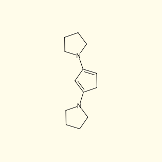 C1=C(N2CCCC2)C=C(N2CCCC2)C1